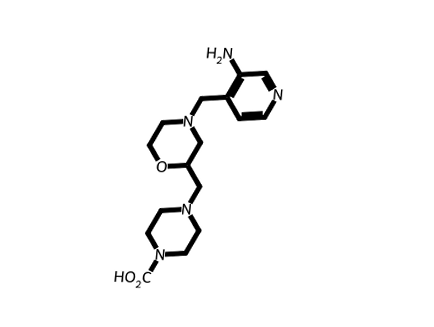 Nc1cnccc1CN1CCOC(CN2CCN(C(=O)O)CC2)C1